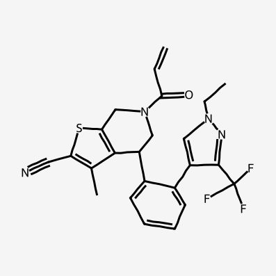 C=CC(=O)N1Cc2sc(C#N)c(C)c2C(c2ccccc2-c2cn(CC)nc2C(F)(F)F)C1